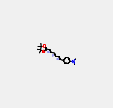 CN(C)c1ccc(/C=C/C=C/C=C/B2OC(C)(C)C(C)(C)O2)cc1